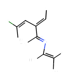 C/C=C(\C=C(/C)Cl)C(/C)=N/C(C)=C(\C)C(=O)O